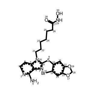 Nc1nccc2c1nc(Sc1cc3c(cc1Br)OCO3)n2CCCCCCC(=O)NO